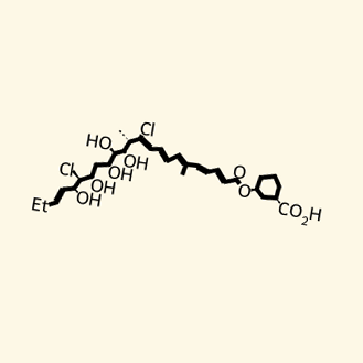 CC/C=C/[C@@H](O)[C@@H](Cl)[C@H](O)C[C@@H](O)[C@@H](O)[C@H](O)[C@H](C)/C(Cl)=C/C=C/C=C(C)/C=C/C=C/C(=O)O[C@H]1CCC[C@H](C(=O)O)C1